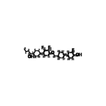 CCCC(O)C1CCC(c2ccc(OCc3ccc(-c4ccc(O)c(F)c4)cc3)c(F)c2F)CC1